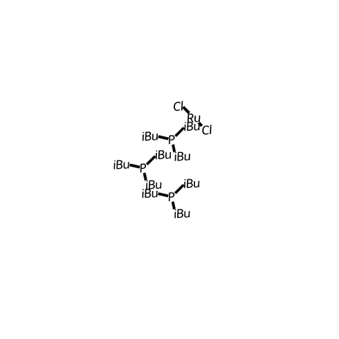 CCC(C)P(C(C)CC)C(C)CC.CCC(C)P(C(C)CC)C(C)CC.CCC(C)P(C(C)CC)C(C)CC.[Cl][Ru][Cl]